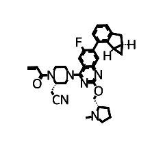 C=CC(=O)N1CCN(c2nc(OC[C@@H]3CCCN3C)nc3cc(-c4cccc5c4[C@@H]4C[C@@H]4C5)c(F)cc23)C[C@@H]1CC#N